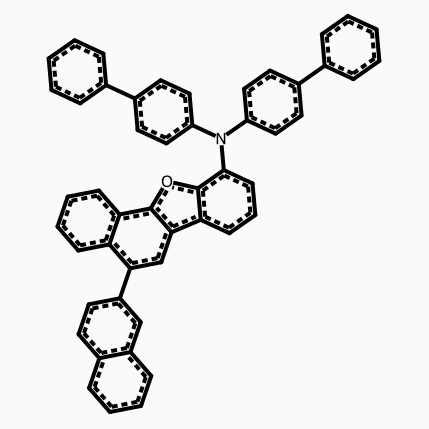 c1ccc(-c2ccc(N(c3ccc(-c4ccccc4)cc3)c3cccc4c3oc3c5ccccc5c(-c5ccc6ccccc6c5)cc43)cc2)cc1